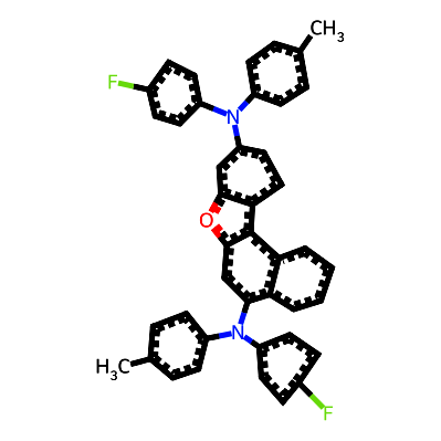 Cc1ccc(N(c2ccc(F)cc2)c2ccc3c(c2)oc2cc(N(c4ccc(C)cc4)c4ccc(F)cc4)c4ccccc4c23)cc1